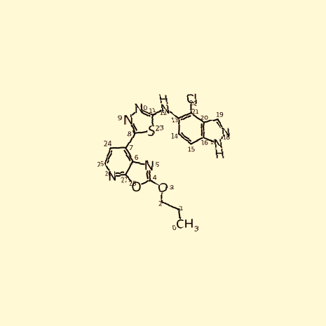 CCCOc1nc2c(-c3nnc(Nc4ccc5[nH]ncc5c4Cl)s3)ccnc2o1